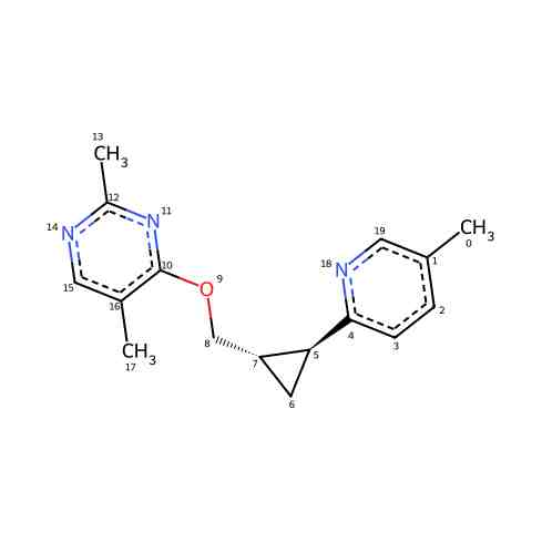 Cc1ccc([C@H]2C[C@@H]2COc2nc(C)ncc2C)nc1